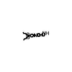 CCCCOC(OCCCC)C1CCC2(CC1)CN(c1ccc([C@@H]3CCCNC3)cc1)C2